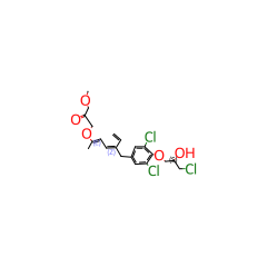 C=C/C(=C\C=C(/C)OCC(=O)COC)Cc1cc(Cl)c(OC[C@H](O)CCl)c(Cl)c1